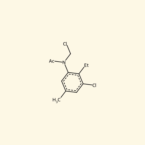 CCc1c(Cl)cc(C)cc1N(CCl)C(C)=O